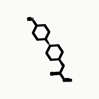 COC(=O)C[C@H]1CC[C@H](C2CCC(C(C)(C)C)CC2)CC1